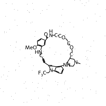 COc1ccc2cc1NCC#Cc1cc3c(cccc3n1CC(F)(F)F)NC1CCN(C)CC1CCOCCOCCNC2=O